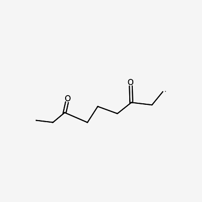 [CH2]CC(=O)CCCC(=O)CC